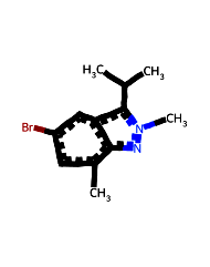 Cc1cc(Br)cc2c(C(C)C)n(C)nc12